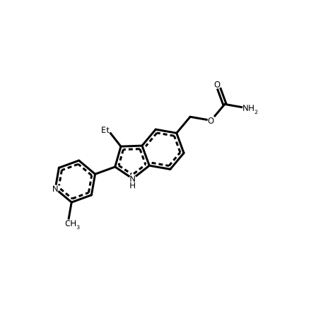 CCc1c(-c2ccnc(C)c2)[nH]c2ccc(COC(N)=O)cc12